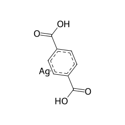 O=C(O)c1ccc(C(=O)O)cc1.[Ag]